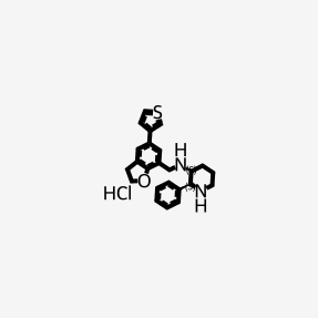 Cl.c1ccc([C@@H]2NCCC[C@@H]2NCc2cc(-c3ccsc3)cc3c2OCC3)cc1